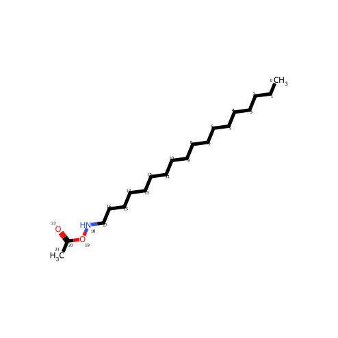 CCCCCCCCCCCCCCCCCCNOC(C)=O